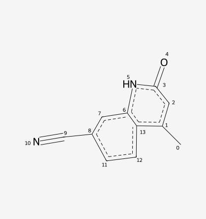 Cc1cc(=O)[nH]c2cc(C#N)ccc12